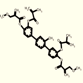 C=C(C)C(=O)Oc1cc(-c2ccc(-c3ccc(OC(=O)C(=C)COC)c(OC(=O)C(=C)C)c3)c(C)c2)ccc1OC(=O)C(=C)COC